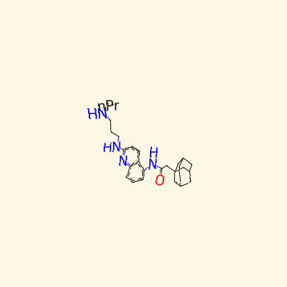 CCCNCCCNc1ccc2c(NC(=O)CC34CC5CC(CC(C5)C3)C4)cccc2n1